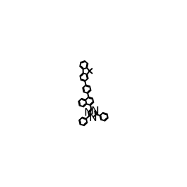 CC1(C)c2ccccc2-c2ccc(-c3ccc(-c4ccc(-c5nc(-c6ccccc6)nc(-c6ccccc6)n5)c5ccccc45)cc3)cc21